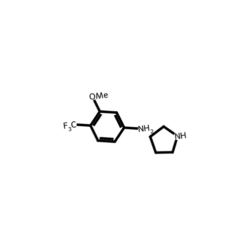 C1CCNC1.COc1cc(N)ccc1C(F)(F)F